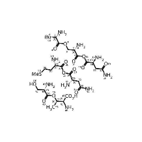 CC[C@H](C)[C@H](N)C(=O)OC[C@H](N)C(=O)OC(=O)[C@@H](N)CC(N)=O.CSCC[C@H](N)C(=O)OC(=O)[C@@H](N)CC(N)=O.C[C@@H](OC(=O)[C@@H](N)CO)[C@H](N)C(=O)O